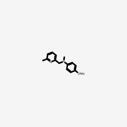 COc1ccc(N(C)Cc2cccc(C)n2)cc1